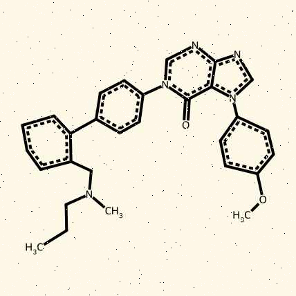 CCCN(C)Cc1ccccc1-c1ccc(-n2cnc3ncn(-c4ccc(OC)cc4)c3c2=O)cc1